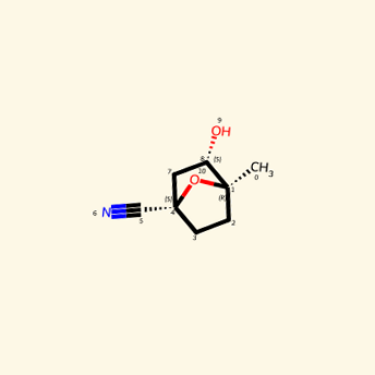 C[C@@]12CC[C@@](C#N)(C[C@@H]1O)O2